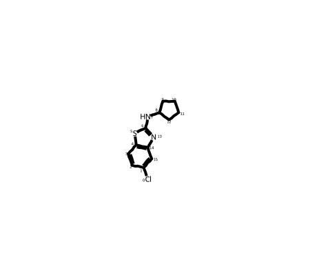 Clc1ccc2sc(NC3CCCC3)nc2c1